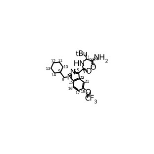 CC(C)(C)[C@H](NC(=O)c1nn(CC2CCCCC2)c2ccc(OC(F)(F)F)cc12)C(N)=O